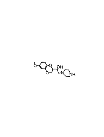 COc1ccc2c(c1)OCC(C(O)CN1CCNCC1)O2